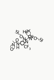 CC(C(=O)Nc1cc(C(F)(F)F)c2nc(-c3nn(COCC[Si](C)(C)C)c4c3C[C@@H]3C[C@]3(C)C4)n(COCC[Si](C)(C)C)c2c1)N1CCOCC1